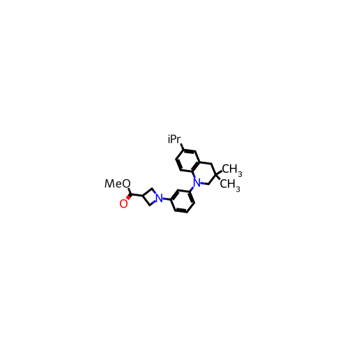 COC(=O)C1CN(c2cccc(N3CC(C)(C)Cc4cc(C(C)C)ccc43)c2)C1